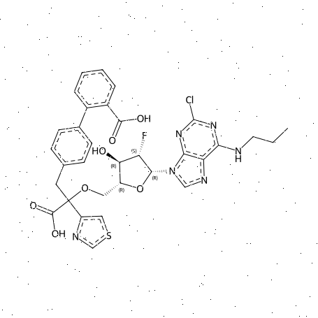 CCCNc1nc(Cl)nc2c1ncn2[C@@H]1O[C@H](COC(Cc2ccc(-c3ccccc3C(=O)O)cc2)(C(=O)O)c2cscn2)[C@@H](O)[C@@H]1F